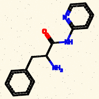 NC(Cc1ccccc1)C(=O)Nc1ccccn1